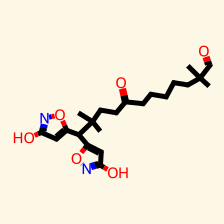 CC(C)(C=O)CCCCCC(=O)CCC(C)(C)C(c1cc(O)no1)c1cc(O)no1